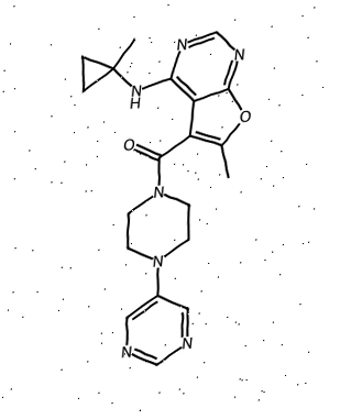 Cc1oc2ncnc(NC3(C)CC3)c2c1C(=O)N1CCN(c2cncnc2)CC1